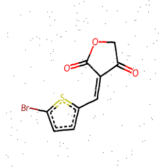 O=C1COC(=O)C1=Cc1ccc(Br)s1